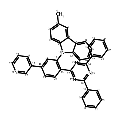 Cc1ccc2c(c1)c1ccccc1n2-c1cc(-c2cccnc2)ccc1-c1nc(-c2ccccc2)nc(-c2ccccc2)n1